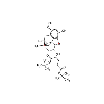 COc1cc(O)c2c3c1C[C@@H]1[C@@H]4CC[C@@H](N[C@@H](CCC(=O)OC(C)(C)C)C(=O)OC(C)(C)C)[C@H](O2)[C@]34CCN1C